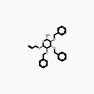 C=CCO[C@H]1O[C@H](O)[C@@H](OCc2ccccc2)[C@H](OCc2ccccc2)[C@H]1OCc1ccccc1